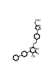 CC(=O)OCc1cn(-c2ccc(CSc3nc(-c4ccc(-c5ccccc5)cc4)c(C#N)c(=O)[nH]3)cc2)nn1